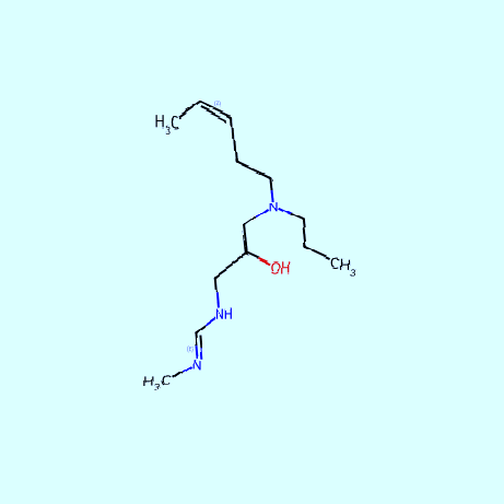 C/C=C\CCN(CCC)CC(O)CN/C=N/C